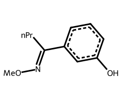 CCCC(=NOC)c1cccc(O)c1